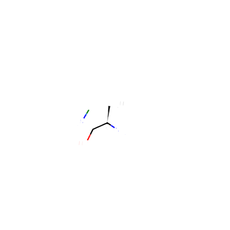 NCl.N[C@@H](CO)C(=O)O